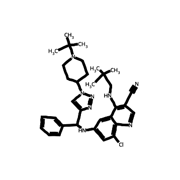 CC(C)(C)CNc1c(C#N)cnc2c(Cl)cc(NC(c3ccccc3)c3cn(C4CCN(C(C)(C)C)CC4)nn3)cc12